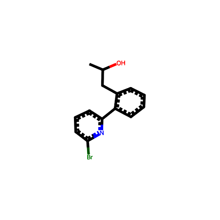 CC(O)Cc1ccccc1-c1cccc(Br)n1